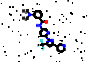 CN(C)c1cccc(C(=O)Nc2ccc(-n3nc(-c4cccnc4)cc3C(F)(F)F)nc2)c1